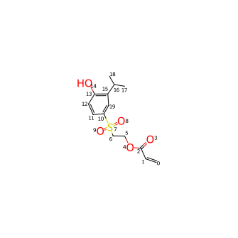 C=CC(=O)OCCS(=O)(=O)c1ccc(O)c(C(C)C)c1